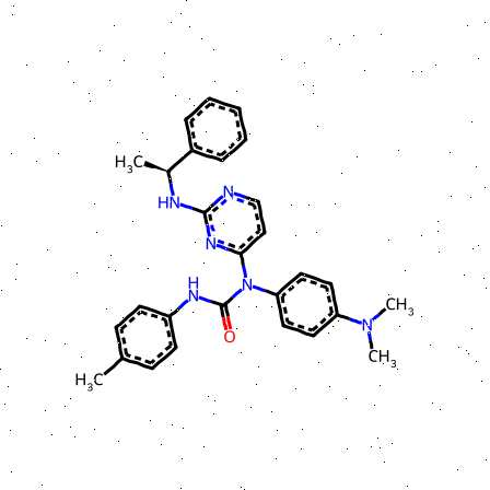 Cc1ccc(NC(=O)N(c2ccc(N(C)C)cc2)c2ccnc(N[C@@H](C)c3ccccc3)n2)cc1